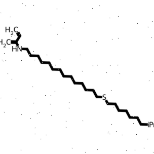 C=CC(=C)NCCCCCCCCCCCCCCSCCCCCCCC(C)C